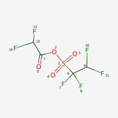 O=C(OS(=O)(=O)C(F)(F)C(F)F)C(F)F